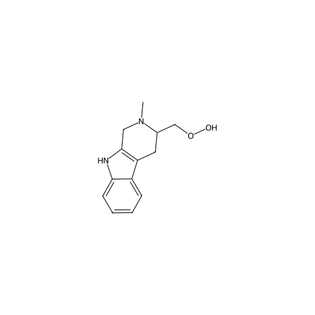 CN1Cc2[nH]c3ccccc3c2CC1COO